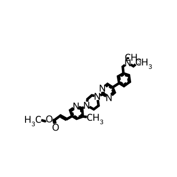 CCOC(=O)/C=C/c1cnc(N2CCN(c3ncc(-c4cccc(CN(C)CC)c4)cn3)CC2)c(C)c1